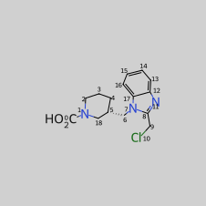 O=C(O)N1CCC[C@H](Cn2c(CCl)nc3ccccc32)C1